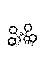 C=C[Si](O[Si](C=C)(c1ccccc1)c1ccccc1)(c1ccccc1)c1ccccc1